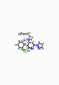 CCCCCC(C)Nc1cc(-n2cccn2)nc(Cl)c1-c1c(F)cccc1Cl